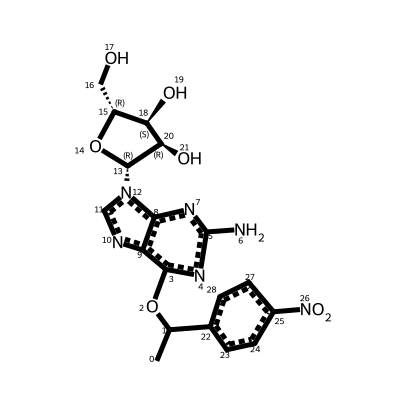 CC(Oc1nc(N)nc2c1ncn2[C@@H]1O[C@H](CO)[C@@H](O)[C@H]1O)c1ccc([N+](=O)[O-])cc1